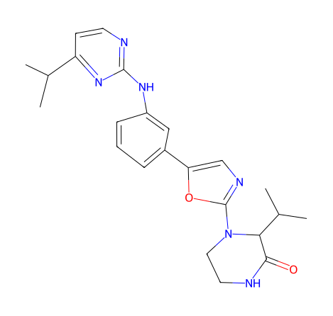 CC(C)c1ccnc(Nc2cccc(-c3cnc(N4CCNC(=O)C4C(C)C)o3)c2)n1